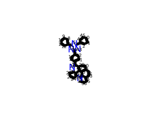 c1ccc(-c2nc(-c3ccccc3)nc(-c3ccc(-c4nc5ccccc5c5c4ccc4ccc6cccnc6c45)cc3)n2)cc1